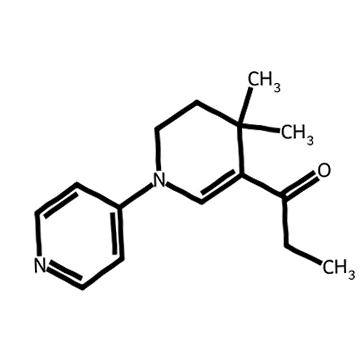 CCC(=O)C1=CN(c2ccncc2)CCC1(C)C